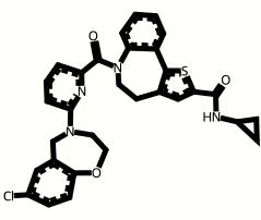 O=C(NC1CC1)c1cc2c(s1)-c1ccccc1N(C(=O)c1cccc(N3CCOc4ccc(Cl)cc4C3)n1)CC2